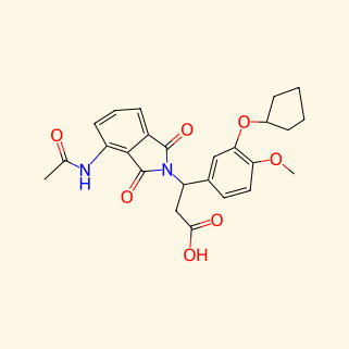 COc1ccc(C(CC(=O)O)N2C(=O)c3cccc(NC(C)=O)c3C2=O)cc1OC1CCCC1